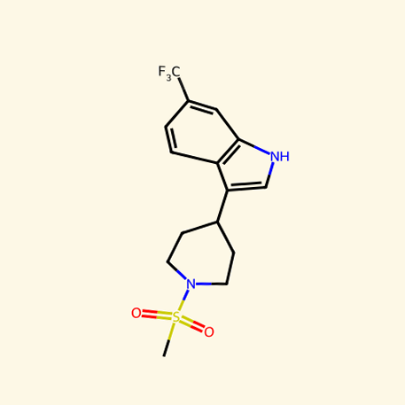 CS(=O)(=O)N1CCC(c2c[nH]c3cc(C(F)(F)F)ccc23)CC1